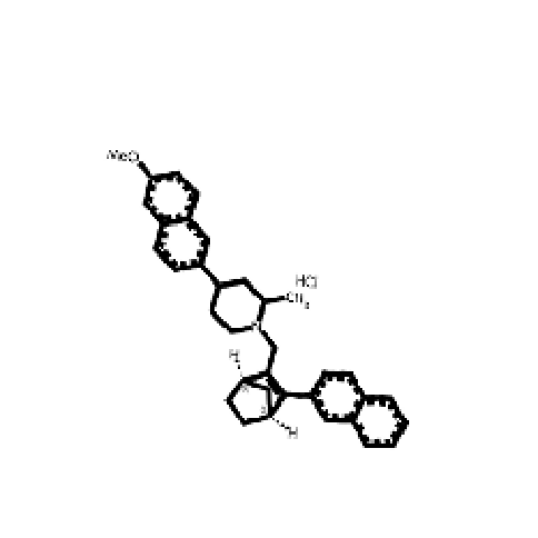 COc1ccc2cc(C3CCN(CC4=C(c5ccc6ccccc6c5)[C@H]5CC[C@@H]4C5)C(C)C3)ccc2c1.Cl